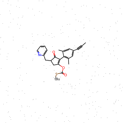 CC#Cc1cc(C)c(C2=C(OC(=O)SC(C)(C)C)CC(Cc3ccccn3)C2=O)c(C)c1